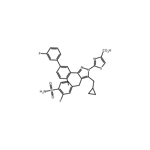 Cc1ccc(-c2cccc(F)c2)cc1-c1nn(-c2nc(C(=O)O)cs2)c(CC2CC2)c1Cc1ccc(S(N)(=O)=O)c(F)c1